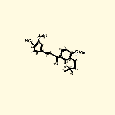 CCOc1cc(/C=C/C(=O)c2ccc(OC)c3c2OC(C)(C)C=C3)ccc1O